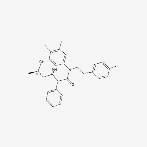 Cc1ccc(CCN(C(=O)C(C(=N)C[C@@H](C)O)c2ccccc2)c2ccc(C)c(C)c2)cc1